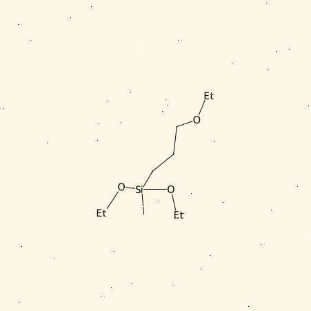 CCOCCC[Si](C)(OCC)OCC